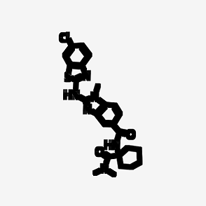 CN(C)C(=O)C1(NC(=O)c2ccc3c(c2)nc(Nc2nc4ccc(Cl)cc4s2)n3C)CCCCC1